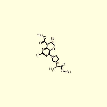 CC[C@@H]1COc2c(N3CC[C@@H](N(C)C(=O)OC(C)(C)C)C3)nc(Cl)nc2N1C(=O)OC(C)(C)C